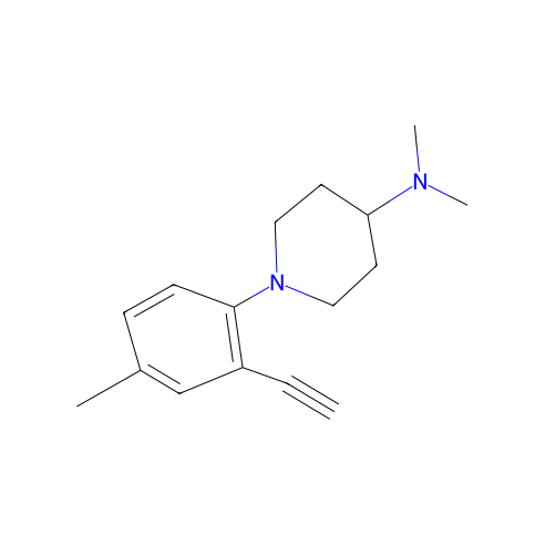 C#Cc1cc(C)ccc1N1CCC(N(C)C)CC1